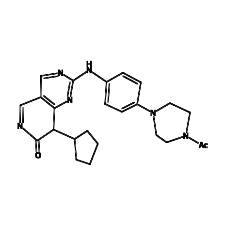 CC(=O)N1CCN(c2ccc(Nc3ncc4c(n3)C(C3CCCC3)C(=O)N=C4)cc2)CC1